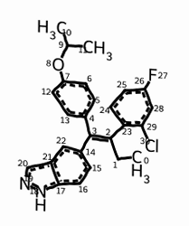 CC/C(=C(/c1ccc(OC(C)C)cc1)c1ccc2[nH]ncc2c1)c1ccc(F)cc1Cl